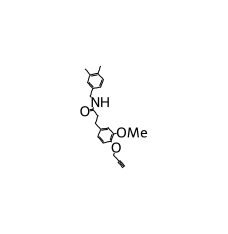 C#CCOc1ccc(CCC(=O)NCc2ccc(C)c(C)c2)cc1OC